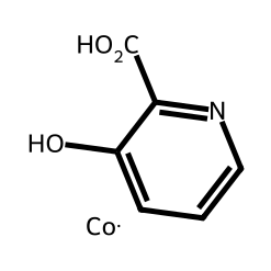 O=C(O)c1ncccc1O.[Co]